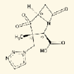 C[C@]1(Cn2ccnn2)[C@H](C(=O)O)N2C(=O)C[C@@H]2S1(=O)=O